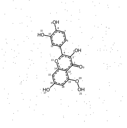 O=c1c(O)c(-c2ccc(O)c(O)c2)oc2cc(O)cc(OO)c12